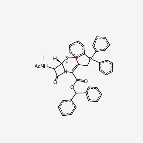 CC(=O)NC1C(=O)N2C(C(=O)OC(c3ccccc3)c3ccccc3)=C(C[P+](c3ccccc3)(c3ccccc3)c3ccccc3)CS[C@@H]12.[I-]